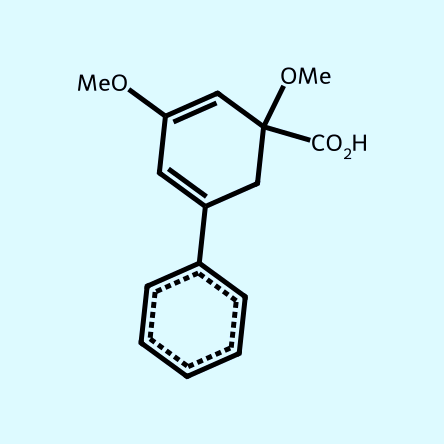 COC1=CC(OC)(C(=O)O)CC(c2ccccc2)=C1